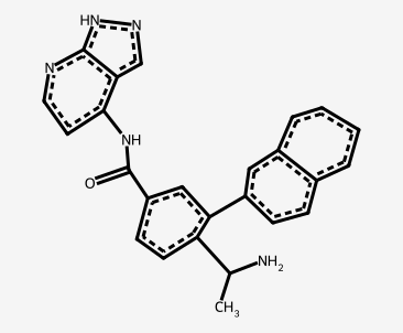 CC(N)c1ccc(C(=O)Nc2ccnc3[nH]ncc23)cc1-c1ccc2ccccc2c1